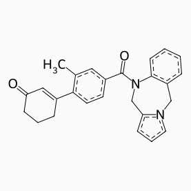 Cc1cc(C(=O)N2Cc3cccn3Cc3ccccc32)ccc1C1=CC(=O)CCC1